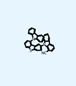 N#Cc1cccc2c3ccccc3n(-c3ccc4sc5cccc(-n6c7ccccc7c7ccccc76)c5c4c3)c12